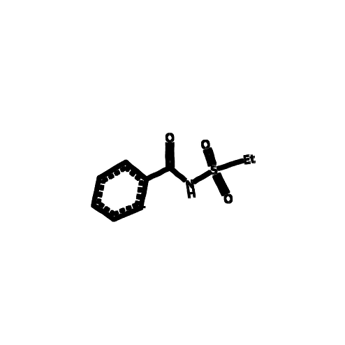 CCS(=O)(=O)NC(=O)c1[c]cccc1